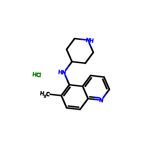 Cc1ccc2ncccc2c1NC1CCNCC1.Cl